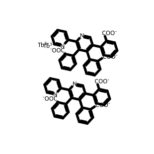 O=C([O-])c1ccccc1-c1cnc(-c2ccccn2)c(-c2ccccc2C(=O)[O-])c1-c1ccccc1C(=O)[O-].O=C([O-])c1ccccc1-c1cnc(-c2ccccn2)c(-c2ccccc2C(=O)[O-])c1-c1ccccc1C(=O)[O-].[Tb+3].[Tb+3]